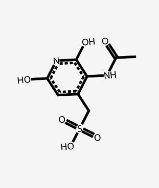 CC(=O)Nc1c(CS(=O)(=O)O)cc(O)nc1O